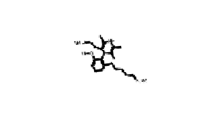 CCCCCCCCCCCCCCCc1cccc(OCC)c1C1C(C)=C(C)NC(C)=C1CCOC